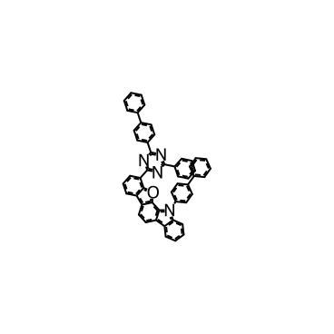 c1ccc(-c2ccc(-c3nc(-c4ccccc4)nc(-c4cccc5c4oc4c5ccc5c6ccccc6n(-c6ccc(-c7ccccc7)cc6)c54)n3)cc2)cc1